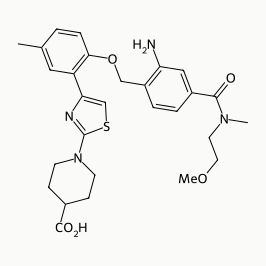 COCCN(C)C(=O)c1ccc(COc2ccc(C)cc2-c2csc(N3CCC(C(=O)O)CC3)n2)c(N)c1